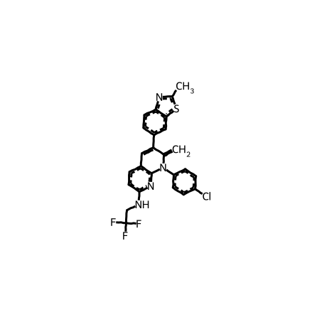 C=C1C(c2ccc3nc(C)sc3c2)=Cc2ccc(NCC(F)(F)F)nc2N1c1ccc(Cl)cc1